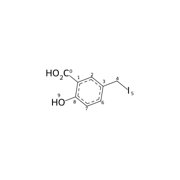 O=C(O)c1cc(CI)ccc1O